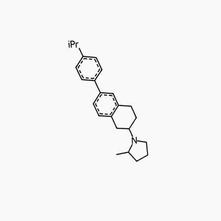 CC(C)c1ccc(-c2ccc3c(c2)CCC(N2CCCC2C)C3)cc1